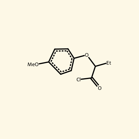 CCC(Oc1ccc(OC)cc1)C(=O)Cl